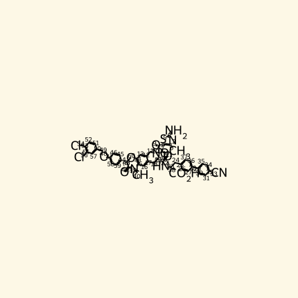 Cc1nc(N)sc1S(=O)(=O)N1Cc2cc3c(cc2C[C@H]1C(=O)NC(Cc1ccc(-c2ccc(C#N)cc2)cc1)C(=O)O)N(C)C(=O)[C@H](c1ccc(OCc2ccc(Cl)c(Cl)c2)cc1)O3